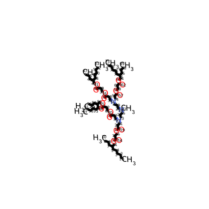 CCCCCCC(CCCC)COC(=O)CCOC(=O)CCN(CCCN(C)CCCN(CCC(=O)OCCC(=O)OCC(CCCC)CCCCCC)CCC(=O)OCCC(=O)OCC(CCCC)CCCCCC)CCC(=O)OCCC(=O)OCC(CCCC)CCCCCC